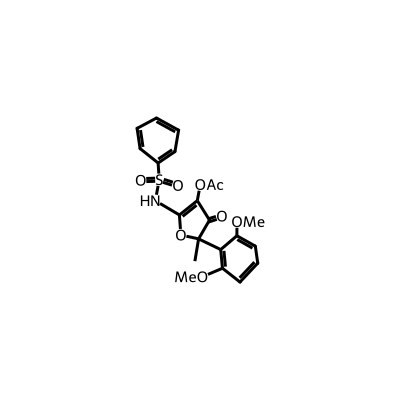 COc1cccc(OC)c1C1(C)OC(NS(=O)(=O)c2ccccc2)=C(OC(C)=O)C1=O